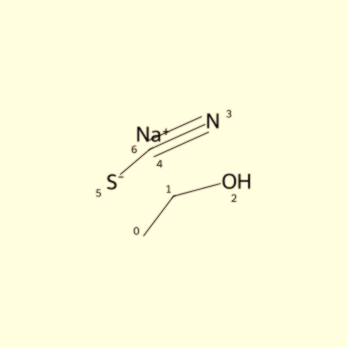 CCO.N#C[S-].[Na+]